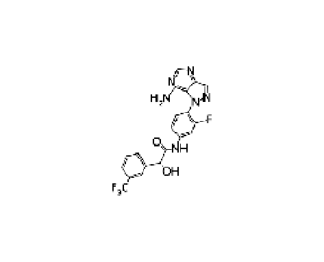 Nc1ncnc2cnn(-c3ccc(NC(=O)[C@H](O)c4cccc(C(F)(F)F)c4)cc3F)c12